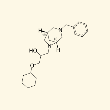 OC(COC1CCCCC1)CN1C[C@H]2C[C@@H]1CN(Cc1ccccc1)C2